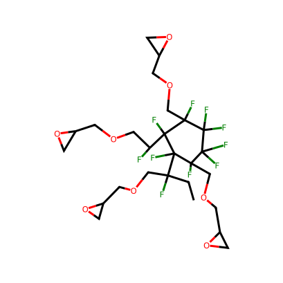 CCC(F)(COCC1CO1)C1(F)C(F)(COCC2CO2)C(F)(F)C(F)(F)C(F)(COCC2CO2)C1(F)C(F)COCC1CO1